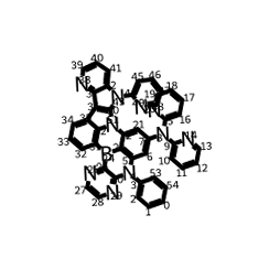 c1ccc(N2c3cc(N(c4ccccn4)c4ccccn4)cc4c3B(c3nccnc32)c2cccc3c5c6ncccc6n(-c6ccccn6)c5n-4c23)cc1